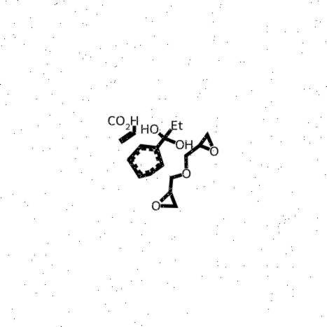 C(OCC1CO1)C1CO1.C=CC(=O)O.CCC(O)(O)c1ccccc1